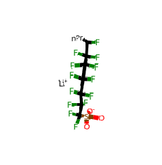 CCCC(F)C(F)(F)C(F)(F)C(F)(F)C(F)(F)C(F)(F)C(F)(F)S(=O)(=O)[O-].[Li+]